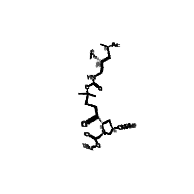 CO[C@@H]1C[C@@H](C(=O)CCC(C)(C)OC(=O)NC[C@H](F)C[C@H](C)C(C)=O)N(C(=O)OC(C)(C)C)C1